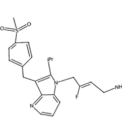 CC(C)c1c(Cc2ccc(S(C)(=O)=O)cc2)c2ncccc2n1C/C(F)=C/CN